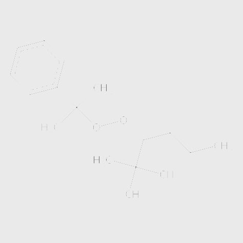 CCCC(OOC(C)(C)c1ccccc1)C(C)(C)C